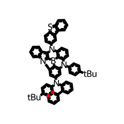 CC(C)(C)c1ccc(N(c2cc3c4c(c2)-n2c5c(c6ccccc62)N(c2ccc6sc7ccccc7c6c2)c2cccc(c2B45)N3c2ccc(C(C)(C)C)cc2)c2ccccc2-c2ccccc2)cc1